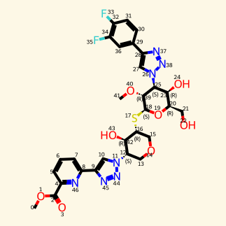 COC(=O)c1cccc(-c2cn([C@H]3COC[C@@H](S[C@@H]4O[C@H](CO)[C@H](O)[C@H](n5cc(-c6ccc(F)c(F)c6)nn5)[C@H]4OC)[C@@H]3O)nn2)n1